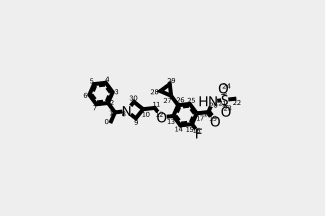 CC(c1ccccc1)N1CC(COc2cc(F)c(C(=O)NS(C)(=O)=O)cc2C2CC2)C1